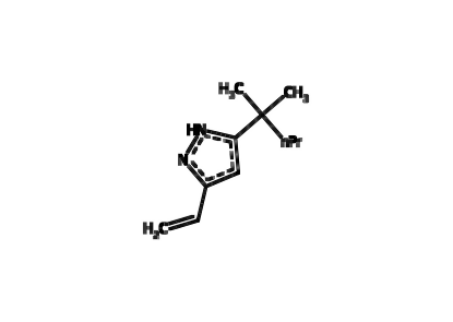 C=Cc1cc(C(C)(C)CCC)[nH]n1